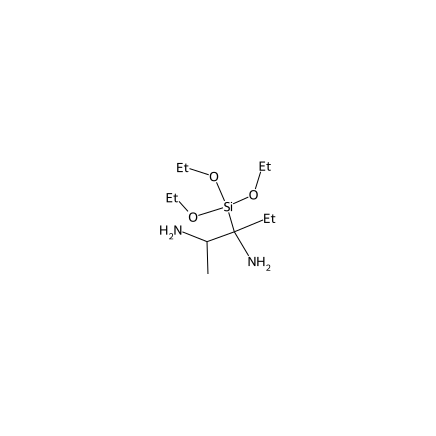 CCO[Si](OCC)(OCC)C(N)(CC)C(C)N